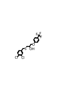 OC(COc1ccc(C(F)(F)F)cc1)CSCc1ccc(Cl)c(Cl)c1